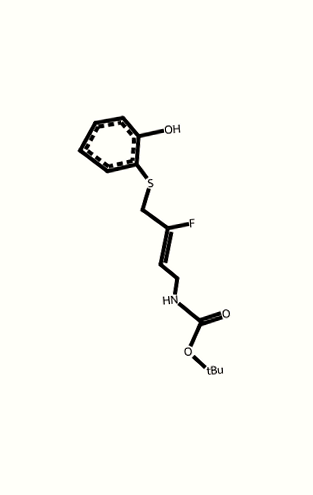 CC(C)(C)OC(=O)NC/C=C(\F)CSc1ccccc1O